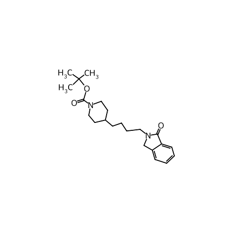 CC(C)(C)OC(=O)N1CCC(CCCCN2Cc3ccccc3C2=O)CC1